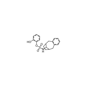 O=S(=O)(NC1C2CCC1Cc1ccccc1C2)Oc1ccccc1O